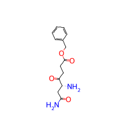 NC(=O)C[C@@H](N)C(=O)CCC(=O)OCc1ccccc1